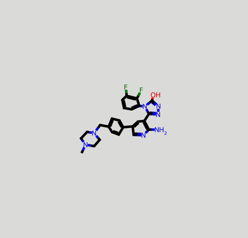 CN1CCN(Cc2ccc(-c3cnc(N)c(-c4nnc(O)n4-c4cccc(F)c4F)c3)cc2)CC1